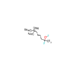 CO[Si](CCCCC(F)(OF)C(F)(F)F)(OC)OC